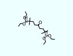 CCO[SiH](OCC)C(C)(C)CCC(=O)CCC(C)(C)[SiH](OCC)OCC